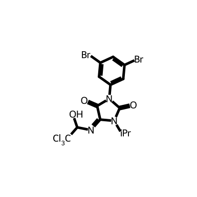 CC(C)N1C(=O)N(c2cc(Br)cc(Br)c2)C(=O)C1=NC(O)C(Cl)(Cl)Cl